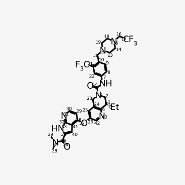 CC[C@H]1CN(C(=O)Nc2ccc(CN3CCN(CC(F)(F)F)CC3)c(C(F)(F)F)c2)Cc2cc(Oc3ccnc4[nH]c(C(=O)N(C)C)cc34)cnc21